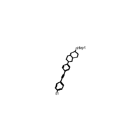 CCCCCCCC1CCC2CC(c3ccc(C#Cc4ccc(CC)cc4)cc3)CCC2C1